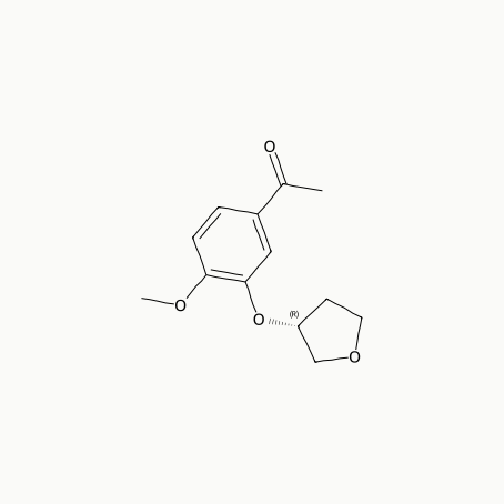 COc1ccc(C(C)=O)cc1O[C@@H]1CCOC1